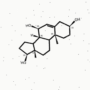 C[C@]12CC[C@H](O)CC1=C[C@H](O)[C@@H]1C2CC[C@@]2(C)C1CC[C@@H]2O